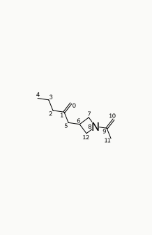 C=C(CCC)CC1CN(C(=C)C)C1